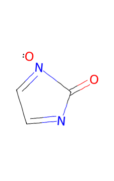 O=C1N=CC=N1.[O]